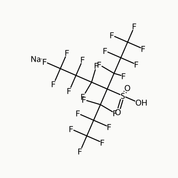 O=S(=O)(O)C(C(F)(F)C(F)(F)C(F)(F)F)(C(F)(F)C(F)(F)C(F)(F)F)C(F)(F)C(F)(F)C(F)(F)F.[Na]